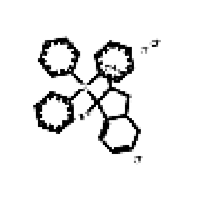 CC1CC2CC=CC=C2[C]1([Ti+3])[Si](c1ccccc1)(c1ccccc1)c1ccccc1.[Cl-].[Cl-].[Cl-]